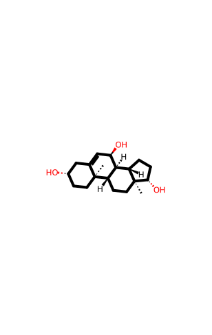 C[C@]12CC[C@H]3[C@@H]([C@H](O)C=C4C[C@@H](O)CC[C@@]43C)[C@@H]1CC[C@@H]2O